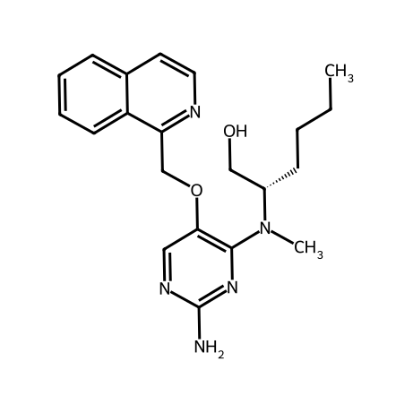 CCCC[C@@H](CO)N(C)c1nc(N)ncc1OCc1nccc2ccccc12